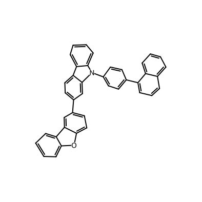 c1ccc2c(-c3ccc(-n4c5ccccc5c5ccc(-c6ccc7oc8ccccc8c7c6)cc54)cc3)cccc2c1